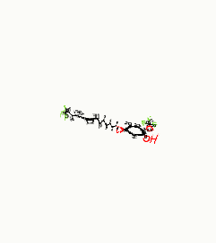 Oc1cc(OCCCCCCCCCCCC(F)(F)F)ccc1OC(F)(F)F